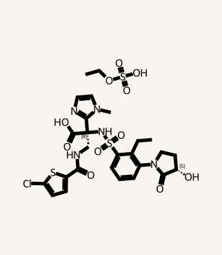 CCOS(=O)(=O)O.CCc1c(N2CC[C@H](O)C2=O)cccc1S(=O)(=O)N[C@@](CNC(=O)c1ccc(Cl)s1)(C(=O)O)c1nccn1C